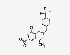 CCCN(Cc1ccc(C(F)(F)F)cc1)Cc1ccc([N+](=O)[O-])cc1Cl